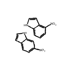 O=[N+]([O-])c1ccc2cc[nH]c2c1.O=[N+]([O-])c1cccc2[nH]ccc12